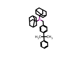 CC(C)(c1ccccc1)c1ccc(CP(C23CC4CC(CC(C4)C2)C3)C23CC4CC(CC(C4)C2)C3)cc1